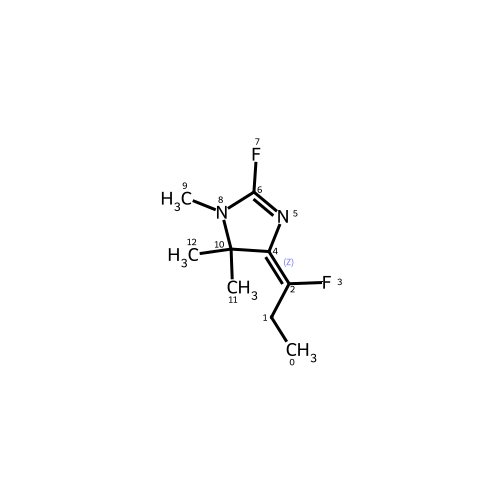 CC/C(F)=C1/N=C(F)N(C)C1(C)C